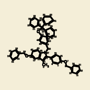 Cc1c(-c2ccc(OCc3ccccc3)cc2)n(Cc2ccc(OC(c3ccccc3)(c3ccccc3)c3ccccc3)cc2)c2ccc(OCc3ccccc3)cc12